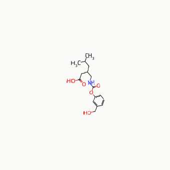 CC(C)CC(CNC(=O)Oc1cccc(CO)c1)CC(=O)O